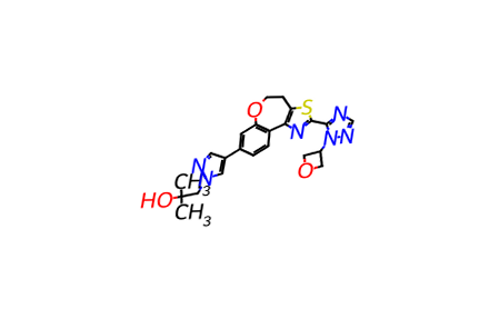 CC(C)(O)Cn1cc(-c2ccc3c(c2)OCCc2sc(-c4ncnn4C4COC4)nc2-3)cn1